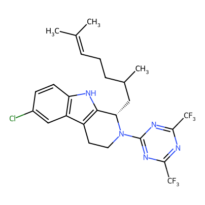 CC(C)=CCCC(C)C[C@H]1c2[nH]c3ccc(Cl)cc3c2CCN1c1nc(C(F)(F)F)nc(C(F)(F)F)n1